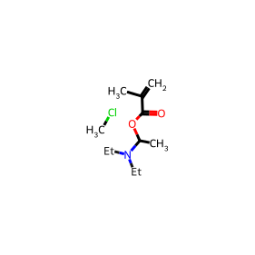 C=C(C)C(=O)OC(C)N(CC)CC.CCl